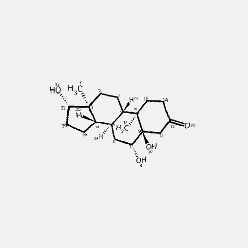 C[C@]12CC[C@H]3[C@@H](C[C@@H](O)[C@@]4(O)CC(=O)CC[C@]34C)[C@@H]1CC[C@@H]2O